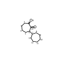 O=C1CCCCC(C2CCCCCC2)C1=O